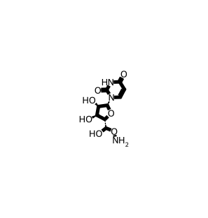 NOC(O)[C@H]1O[C@@H](n2ccc(=O)[nH]c2=O)[C@H](O)[C@@H]1O